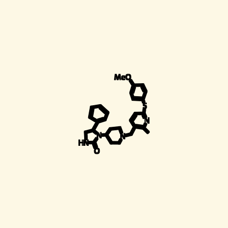 COc1ccc(Sc2ccc(CN3CCC(N4C(=O)NCC4c4ccccc4)CC3)c(C)n2)cc1